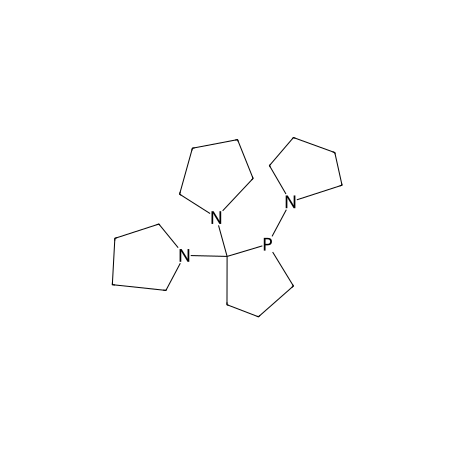 C1CCN(P2CCCC2(N2CCCC2)N2CCCC2)C1